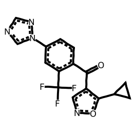 O=C(c1ccc(-n2cncn2)cc1C(F)(F)F)c1cnoc1C1CC1